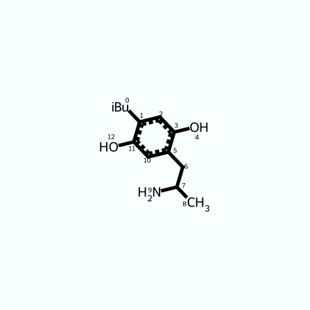 CCC(C)c1cc(O)c(CC(C)N)cc1O